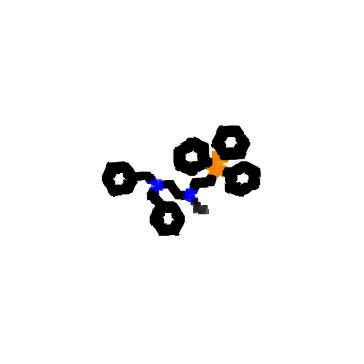 CC(=O)N(CCN(Cc1ccccc1)Cc1ccccc1)CC[PH](c1ccccc1)(c1ccccc1)c1ccccc1